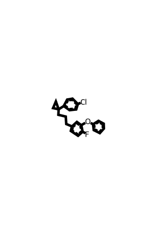 Fc1ccc(CCCC2(c3ccc(Cl)cc3)CC2)cc1Oc1ccccc1